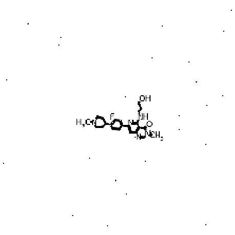 CN1CCC(c2ccc(-c3cc4ncn(C)c(=O)c4c(NCCCO)n3)cc2F)CC1